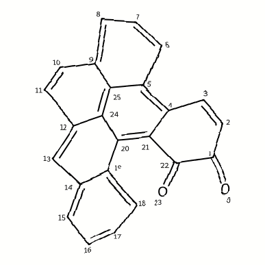 O=c1ccc2c3cccc4ccc5cc6ccccc6c(c2c1=O)c5c43